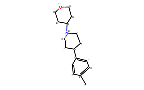 Cc1ccc(C2CCN(C3CCOCC3)CC2)cc1